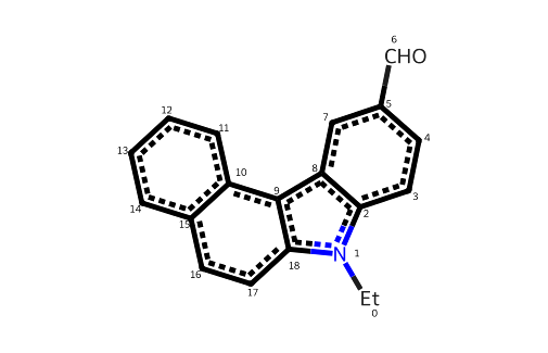 CCn1c2ccc(C=O)cc2c2c3ccccc3ccc21